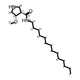 CCCCCCCCCCCCCCNC(=O)[C@@H]1CNC[C@H]1OC